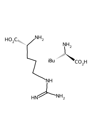 CC[C@@H](C)[C@@H](N)C(=O)O.N=C(N)NCCC[C@@H](N)C(=O)O